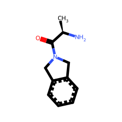 C[C@@H](N)C(=O)N1Cc2ccccc2C1